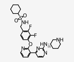 O=S(=O)(NCc1ccc(Oc2ncccc2-c2ccnc(N[C@H]3CCCNC3)n2)c(F)c1F)C1CCCCC1